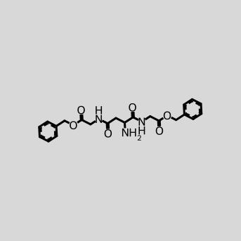 NC(CC(=O)NCC(=O)OCc1ccccc1)C(=O)NCC(=O)OCc1ccccc1